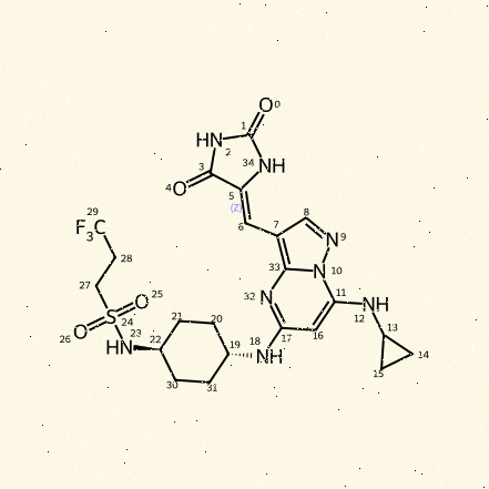 O=C1NC(=O)/C(=C/c2cnn3c(NC4CC4)cc(N[C@H]4CC[C@H](NS(=O)(=O)CCC(F)(F)F)CC4)nc23)N1